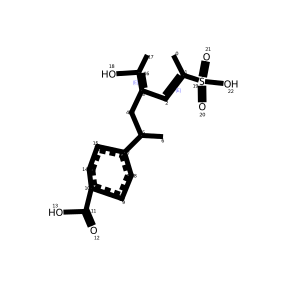 C/C(=C\C(CC(C)c1ccc(C(=O)O)cc1)=C(/C)O)S(=O)(=O)O